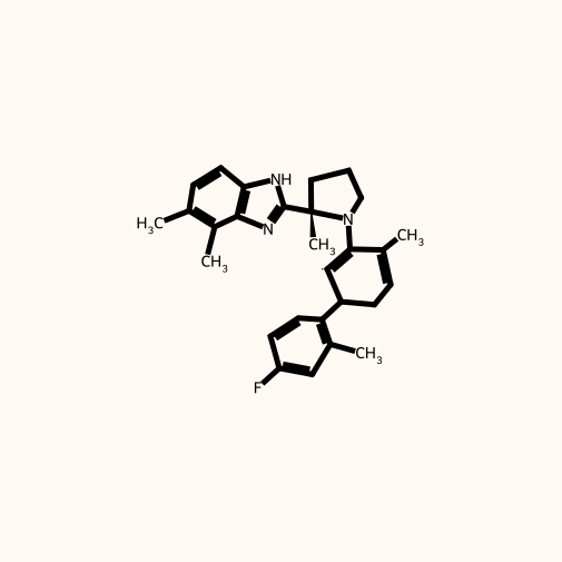 CC1=CCC(c2ccc(F)cc2C)[C]=C1N1CCC[C@@]1(C)c1nc2c(C)c(C)ccc2[nH]1